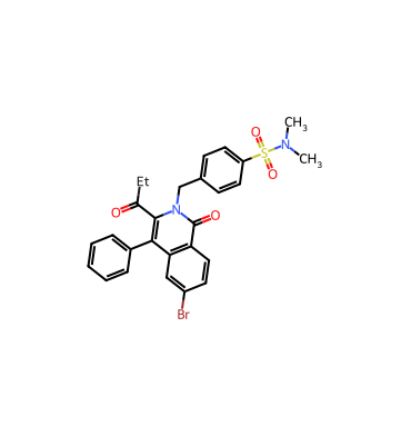 CCC(=O)c1c(-c2ccccc2)c2cc(Br)ccc2c(=O)n1Cc1ccc(S(=O)(=O)N(C)C)cc1